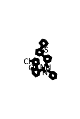 Clc1cccc2c1oc1cccc(-c3nc(-c4ccccc4)nc(-c4cccc(-c5cccc6c5sc5ccccc56)c4)n3)c12